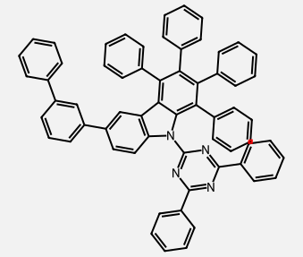 c1ccc(-c2cccc(-c3ccc4c(c3)c3c(-c5ccccc5)c(-c5ccccc5)c(-c5ccccc5)c(-c5ccccc5)c3n4-c3nc(-c4ccccc4)nc(-c4ccccc4)n3)c2)cc1